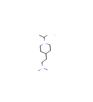 CCCCC(C)N1CCC(CCN(C)C)CC1